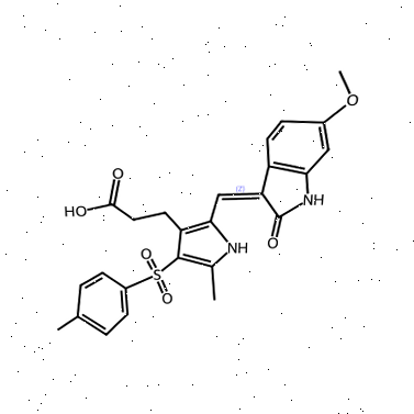 COc1ccc2c(c1)NC(=O)/C2=C\c1[nH]c(C)c(S(=O)(=O)c2ccc(C)cc2)c1CCC(=O)O